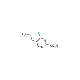 O=C(O)c1ccc(CCC(F)(F)F)c(F)c1